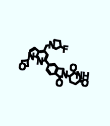 O=C1CCC(N2Cc3cc(-c4cc(CN5CCC(F)C5)c5ccn(C6COC6)c5n4)ccc3C2=O)C(=O)N1